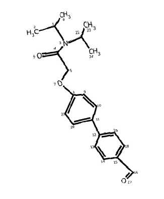 CC(C)N(C(=O)COc1ccc(-c2ccc(C=O)cc2)cc1)C(C)C